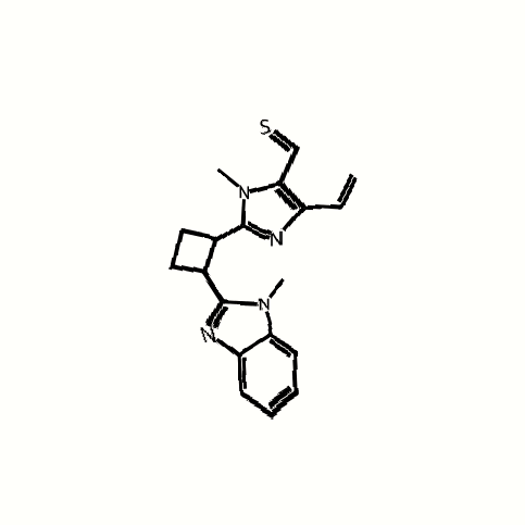 C=Cc1nc(C2CCC2c2nc3ccccc3n2C)n(C)c1C=S